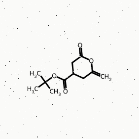 C=C1CC(C(=O)OC(C)(C)C)CC(=O)O1